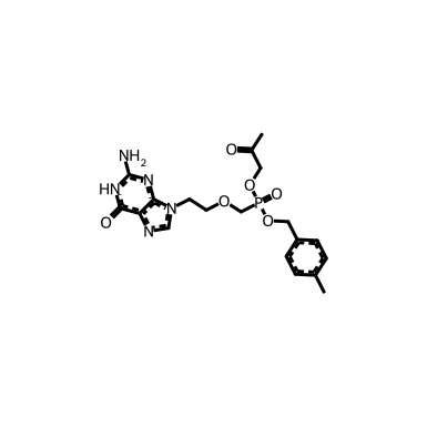 CC(=O)COP(=O)(COCCn1cnc2c(=O)[nH]c(N)nc21)OCc1ccc(C)cc1